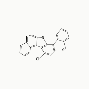 Clc1cc2ccc3ccccc3c2c2sc3ccc4ccccc4c3c12